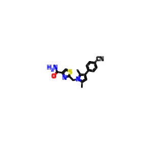 Cc1cc(-c2ccc(C#N)cc2)c(C)n1Cc1nc(C(N)=O)cs1